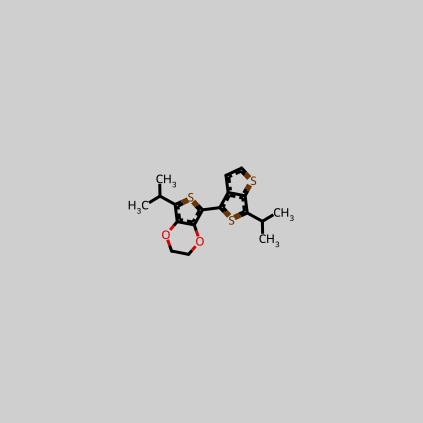 CC(C)c1sc(-c2sc(C(C)C)c3sccc23)c2c1OCCO2